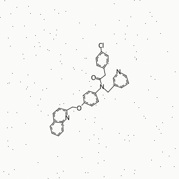 O=C(Cc1ccc(Cl)cc1)N(Cc1cccnc1)c1ccc(OCc2ccc3ccccc3n2)cc1